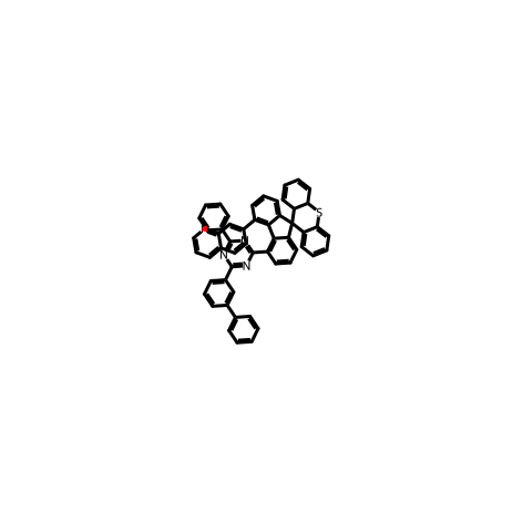 C1=CC2Sc3ccccc3C3(c4cccc(-c5ccc6cccnc6c5)c4-c4c(-c5nc(-c6ccccc6)nc(-c6cccc(-c7ccccc7)c6)n5)cccc43)C2C=C1